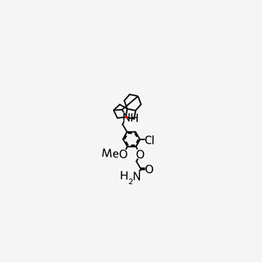 COc1cc(CNC2C3CCC45CC2CC4CC5C3)cc(Cl)c1OCC(N)=O